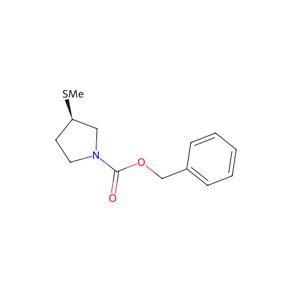 CS[C@@H]1CCN(C(=O)OCc2ccccc2)C1